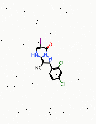 N#Cc1c(-c2ccc(Cl)cc2Cl)nn2c(=O)c(I)c[nH]c12